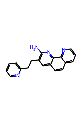 Nc1nc2c(ccc3cccnc32)cc1CCc1ccccn1